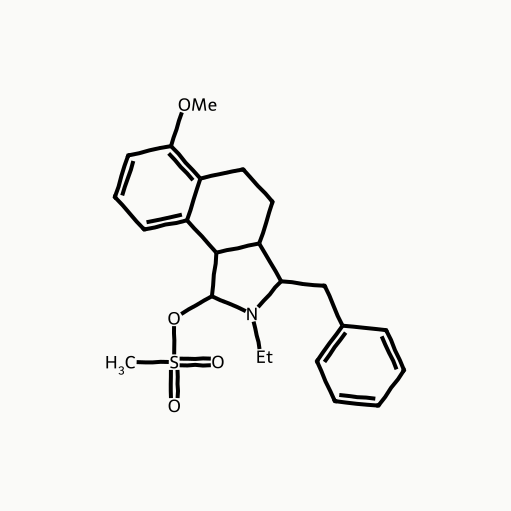 CCN1C(Cc2ccccc2)C2CCc3c(OC)cccc3C2C1OS(C)(=O)=O